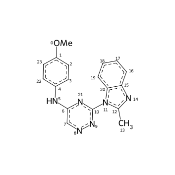 COc1ccc(Nc2cnnc(-n3c(C)nc4ccccc43)n2)cc1